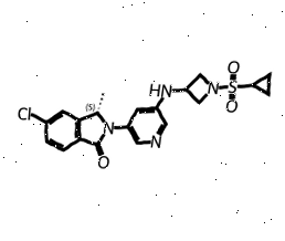 C[C@H]1c2cc(Cl)ccc2C(=O)N1c1cncc(NC2CN(S(=O)(=O)C3CC3)C2)c1